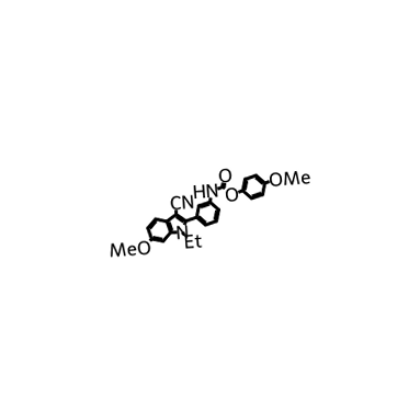 CCn1c(-c2cccc(NC(=O)Oc3ccc(OC)cc3)c2)c(C#N)c2ccc(OC)cc21